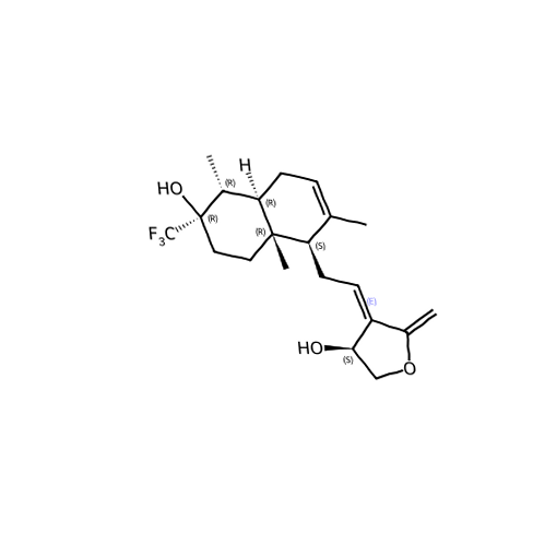 C=C1OC[C@@H](O)/C1=C\C[C@@H]1C(C)=CC[C@@H]2[C@@H](C)[C@@](O)(C(F)(F)F)CC[C@@]12C